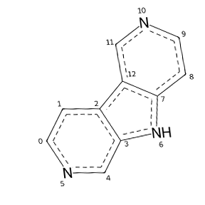 c1cc2c(cn1)[nH]c1ccncc12